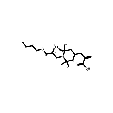 C=C(CC1CC(C)(C)N(CC(O)COCCCC)C(C)(C)C1)C(=O)O